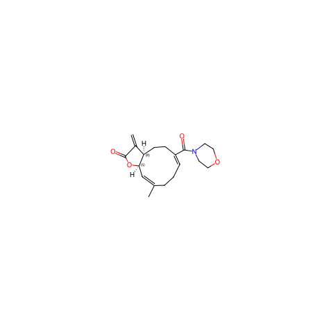 C=C1C(=O)O[C@@H]2C=C(C)CCC=C(C(=O)N3CCOCC3)CC[C@H]12